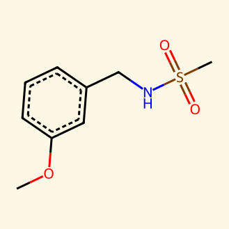 COc1cccc(CNS(C)(=O)=O)c1